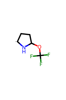 FC(F)(F)OC1CC[CH]N1